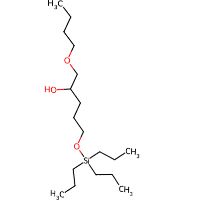 CCCCOCC(O)CCCO[Si](CCC)(CCC)CCC